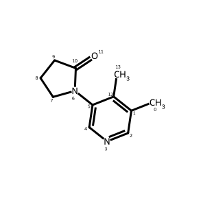 Cc1cncc(N2CCCC2=O)c1C